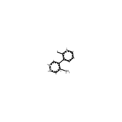 Cc1ncccc1-c1cnncc1N